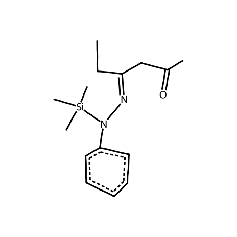 CC/C(CC(C)=O)=N\N(c1ccccc1)[Si](C)(C)C